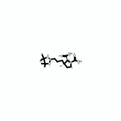 CC1(C)OB(CCC[C@]2(C)CCN(C(=O)O)[C@@H]2C(=O)O)OC1(C)C